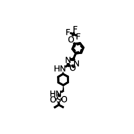 CC(C)S(=O)(=O)NC[C@H]1CC[C@H](Nc2nc(-c3cccc(OC(F)(F)F)c3)no2)CC1